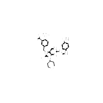 COC(=O)c1cccc(Cn2c(=O)n(C3CCOCC3)c3nc(-n4cnc5ccc(C#N)cc54)ncc32)c1